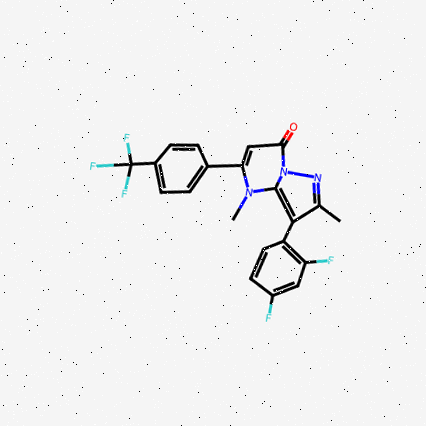 Cc1nn2c(=O)cc(-c3ccc(C(F)(F)F)cc3)n(C)c2c1-c1ccc(F)cc1F